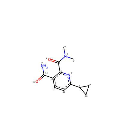 CN(C)C(=O)c1nc(C2CC2)ccc1C(N)=O